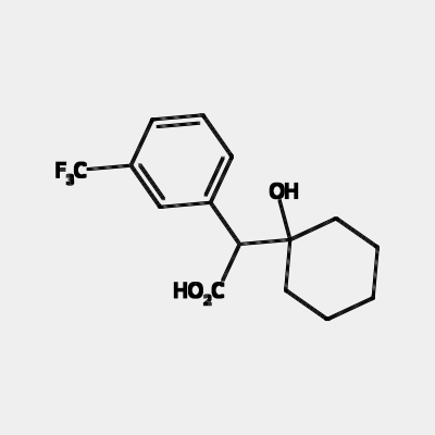 O=C(O)C(c1cccc(C(F)(F)F)c1)C1(O)CCCCC1